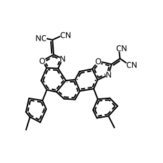 Cc1ccc(-c2cc3oc(=C(C#N)C#N)nc3c3c2ccc2c(-c4ccc(C)cc4)c4nc(=C(C#N)C#N)oc4cc23)cc1